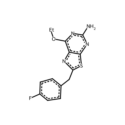 CCOc1nc(N)nc2sc(Cc3ccc(F)cc3)nc12